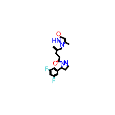 C=C(CCC(=O)N1N=CCC1c1cc(F)cc(F)c1)Cn1[nH]c(=O)cc1C